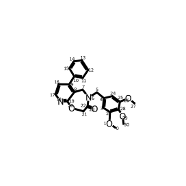 COc1cc(CN2Cc3c(-c4ccccc4)ccnc3OCC2=O)cc(OC)c1OC